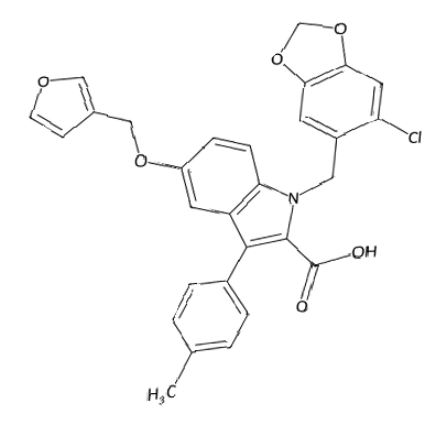 Cc1ccc(-c2c(C(=O)O)n(Cc3cc4c(cc3Cl)OCO4)c3ccc(OCc4ccoc4)cc23)cc1